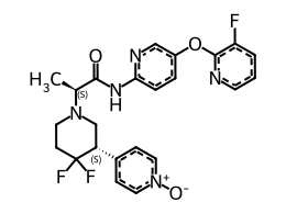 C[C@@H](C(=O)Nc1ccc(Oc2ncccc2F)cn1)N1CCC(F)(F)[C@@H](c2cc[n+]([O-])cc2)C1